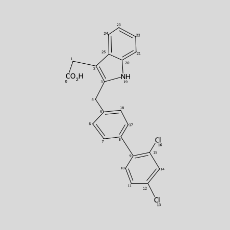 O=C(O)Cc1c(Cc2ccc(-c3ccc(Cl)cc3Cl)cc2)[nH]c2ccccc12